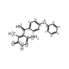 Cc1c(C(=N)c2ccc(Oc3ccccc3)cc2)c(N)n[nH]c1=O